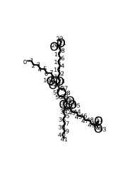 CCCCCCCCC(OC)C(CCCCCCCC(=O)OC)OC(=O)C1CCC(C(=O)OC(CCCCCCCC)C(CCCCCCCC(=O)OC)OC)CC1